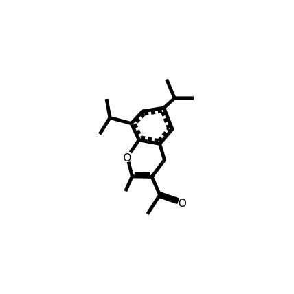 CC(=O)C1=C(C)Oc2c(cc(C(C)C)cc2C(C)C)C1